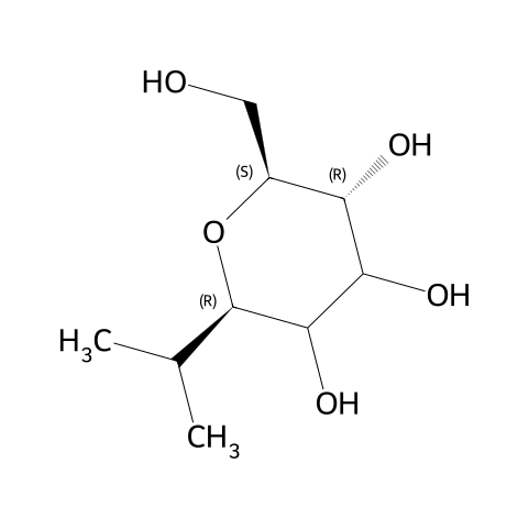 CC(C)[C@H]1O[C@@H](CO)[C@H](O)C(O)C1O